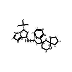 CC(C)(C)[C@@H]1C[C@H](NCCC2(c3ccccn3)CCOC3(CCCC3)C2)c2ccnn21